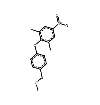 COSc1ccc(Oc2c(C)cc([N+](=O)[O-])cc2C)cc1